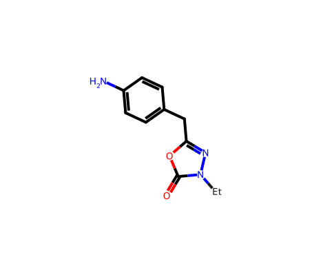 CCn1nc(Cc2ccc(N)cc2)oc1=O